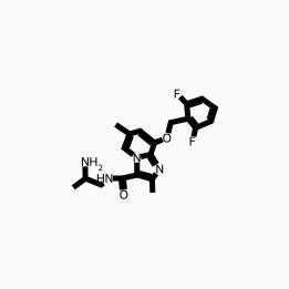 Cc1cc(OCc2c(F)cccc2F)c2nc(C)c(C(=O)NCC(C)N)n2c1